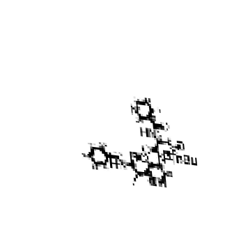 CCCCS(=O)(=O)CC(NC(=O)c1cccnc1)C(=O)N[C@@H](CC(C)C)[C@@H](O)[C@H](O)[C@@H](C)C(=O)NCc1ccccc1